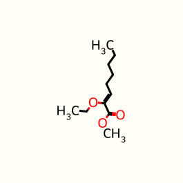 CCCCCC=C(OCC)C(=O)OC